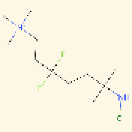 CC(C)(CCC(F)(F)CC[N+](C)(C)C)NCl